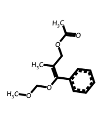 COCOC(=C(C)COC(C)=O)c1ccccc1